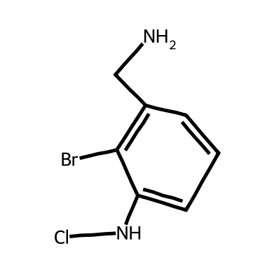 NCc1cccc(NCl)c1Br